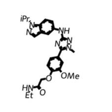 CCNC(=O)COc1ccc(-c2nc(Nc3ccc4c(cnn4C(C)C)c3)nn2C)cc1OC